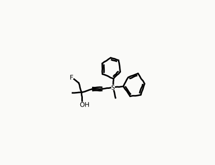 CC(O)(C#CS(C)(c1ccccc1)c1ccccc1)CF